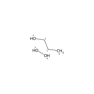 CCCO.OO